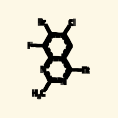 CCc1nc(C)nc2c(F)c(Br)c(Cl)cc12